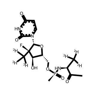 [2H]C([2H])([2H])[C@H](N[P@](C)(=O)OC[C@H]1O[C@@H](n2ccc(=O)[nH]c2=O)[C@@](F)(C([2H])([2H])[2H])[C@@H]1O)C(C)=O